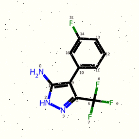 Nc1[nH]nc(C(F)(F)F)c1-c1cccc(F)c1